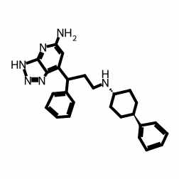 Nc1cc(C(CCN[C@H]2CC[C@H](c3ccccc3)CC2)c2ccccc2)c2nn[nH]c2n1